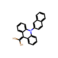 SC(S)=C1c2ccccc2N(c2ccc3ccccc3c2)c2ccccc21